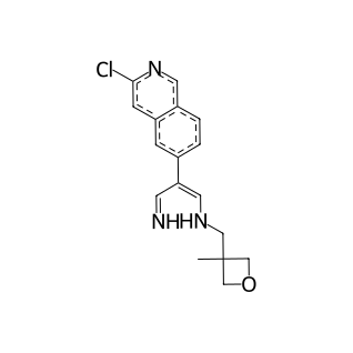 CC1(CN/C=C(\C=N)c2ccc3cnc(Cl)cc3c2)COC1